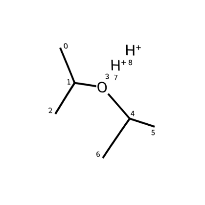 CC(C)OC(C)C.[H+].[H+]